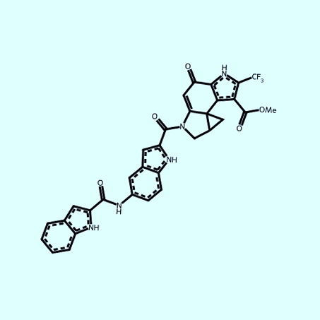 COC(=O)c1c(C(F)(F)F)[nH]c2c1C13CC1CN(C(=O)c1cc4cc(NC(=O)c5cc6ccccc6[nH]5)ccc4[nH]1)C3=CC2=O